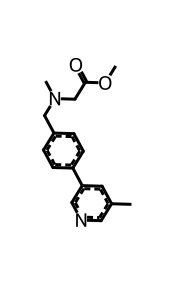 COC(=O)CN(C)Cc1ccc(-c2cncc(C)c2)cc1